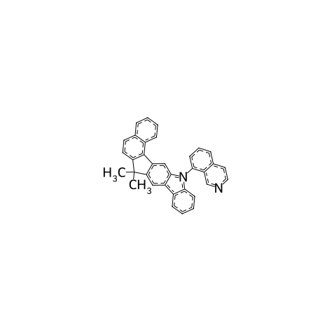 CC1(C)c2cc3c4ccccc4n(-c4cccc5ccncc45)c3cc2-c2c1ccc1ccccc21